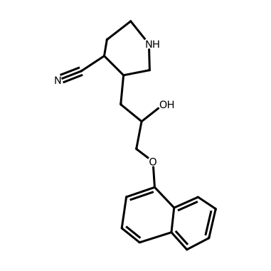 N#CC1CCNCC1CC(O)COc1cccc2ccccc12